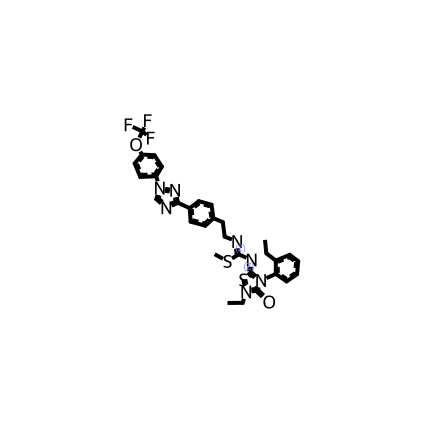 CCc1ccccc1-n1c(=O)n(CC)s/c1=N\C(=N\CCc1ccc(-c2ncn(-c3ccc(OC(F)(F)F)cc3)n2)cc1)SC